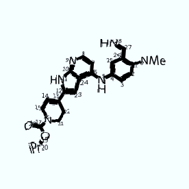 CNc1ccc(Nc2ccnc3[nH]c(C4=CCN(C(=O)OC(C)C)CC4)cc23)cc1C=N